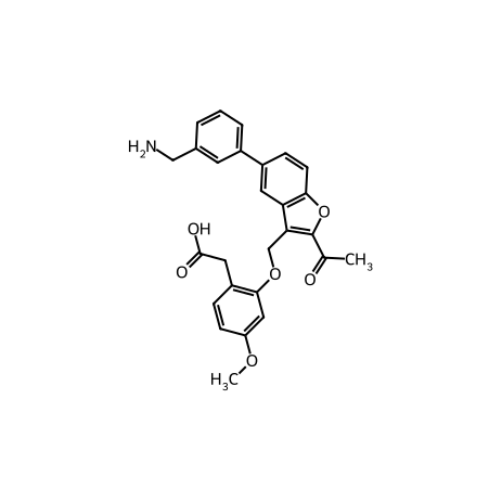 COc1ccc(CC(=O)O)c(OCc2c(C(C)=O)oc3ccc(-c4cccc(CN)c4)cc23)c1